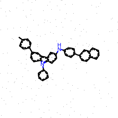 Cc1ccc(-c2ccc3c(c2)c2cc(Nc4ccc(-c5ccc6ccccc6c5)cc4)ccc2n3-c2ccccc2)cc1